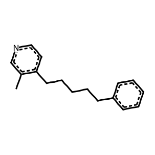 Cc1cnccc1CCCCCc1ccccc1